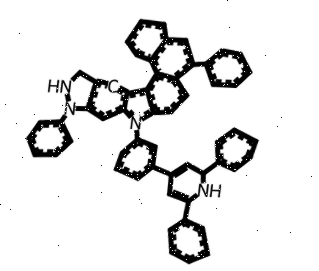 C1=C(c2cccc(-n3c4cc5c(cc4c4c6c(ccc43)c(-c3ccccc3)cc3ccccc36)CNN5c3ccccc3)c2)C=C(c2ccccc2)NC1c1ccccc1